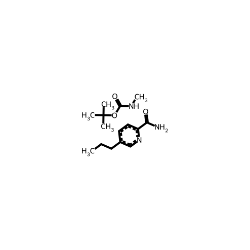 CCCc1ccc(C(N)=O)nc1.CNC(=O)OC(C)(C)C